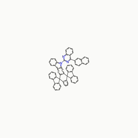 c1ccc2c(c1)-c1ccccc1C21c2ccccc2C2(c3ccccc3-c3ccccc32)c2cc3c(cc21)c1ccccc1n3-c1nc(-c2ccc3ccccc3c2)c2ccccc2n1